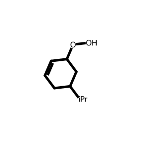 CC(C)C1CC=CC(OO)C1